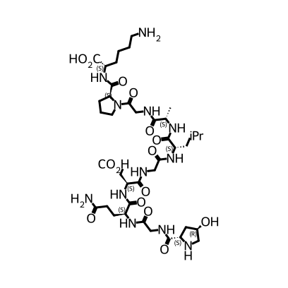 CC(C)C[C@H](NC(=O)CNC(=O)[C@H](CC(=O)O)NC(=O)[C@H](CCC(N)=O)NC(=O)CNC(=O)[C@@H]1C[C@@H](O)CN1)C(=O)N[C@@H](C)C(=O)NCC(=O)N1CCC[C@H]1C(=O)N[C@@H](CCCCN)C(=O)O